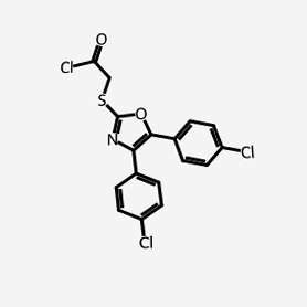 O=C(Cl)CSc1nc(-c2ccc(Cl)cc2)c(-c2ccc(Cl)cc2)o1